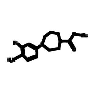 CCc1cc(N2CCCN(C(=O)OC(C)(C)C)CC2)ccc1N